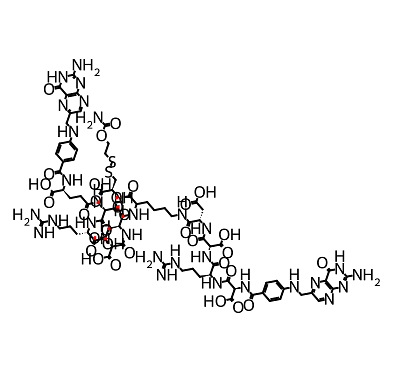 N=C(N)NCCC[C@H](NC(=O)[C@@H](NC(=O)c1ccc(NCc2cnc3nc(N)[nH]c(=O)c3n2)cc1)C(=O)O)C(=O)N[C@@H](C(=O)O)C(=O)N[C@@H](CC(=O)O)C(=O)NCCCCC(NC(=O)[C@H](CC(=O)O)NC(=O)[C@@H](NC(=O)[C@H](CCCNC(=N)N)NC(=O)[C@@H](NC(=O)CC[C@H](NC(=O)c1ccc(NCc2cnc3nc(N)[nH]c(=O)c3n2)cc1)C(=O)O)C(=O)O)C(=O)O)C(=O)N[C@H](CSSCCOC(N)=O)C(=O)O